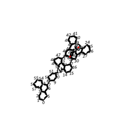 c1ccc2c(c1)cc(-c1ccc(-n3c4cccc(-c5ccc6oc7ccccc7c6c5)c4c4c(-c5ccc6oc7ccccc7c6c5)cccc43)cc1)c1ccccc12